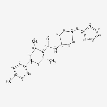 C[C@@H]1CN(c2ncc(C(F)(F)F)cn2)C[C@H](C)N1C(=O)NC1CCN(Cc2ccccn2)CC1